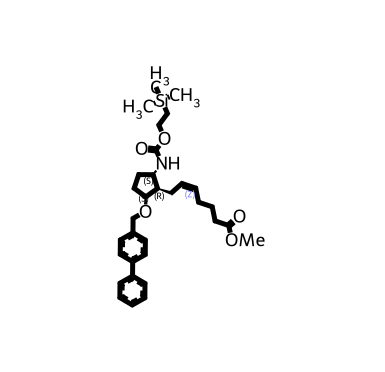 COC(=O)CCC/C=C\C[C@@H]1[C@@H](NC(=O)OCC[Si](C)(C)C)CC[C@@H]1OCc1ccc(-c2ccccc2)cc1